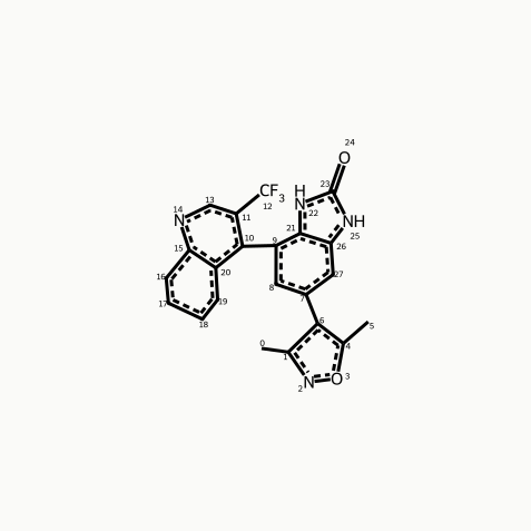 Cc1noc(C)c1-c1cc(-c2c(C(F)(F)F)cnc3ccccc23)c2[nH]c(=O)[nH]c2c1